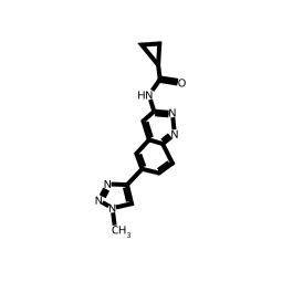 Cn1cc(-c2ccc3nnc(NC(=O)C4CC4)cc3c2)nn1